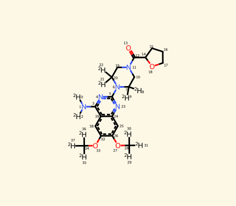 [2H]N([2H])c1nc(N2C([2H])([2H])CN(C(=O)C3CCCO3)CC2([2H])[2H])nc2cc(OC([2H])([2H])[2H])c(OC([2H])([2H])[2H])cc12